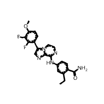 CCc1cc(Nc2nccn3c(-c4ccc(OC)c(F)c4F)cnc23)ccc1C(N)=O